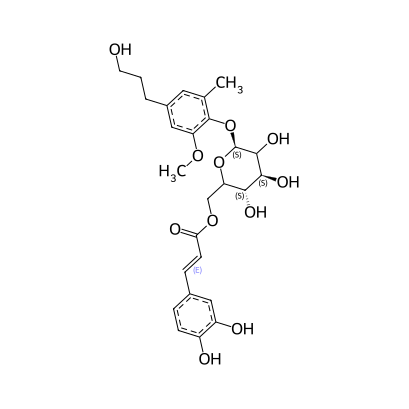 COc1cc(CCCO)cc(C)c1O[C@@H]1OC(COC(=O)/C=C/c2ccc(O)c(O)c2)[C@@H](O)[C@H](O)C1O